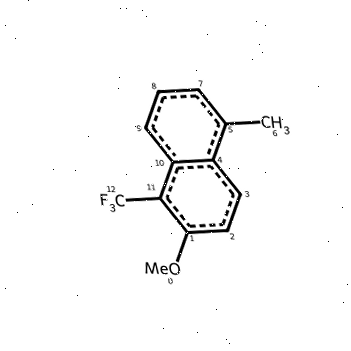 COc1ccc2c(C)cccc2c1C(F)(F)F